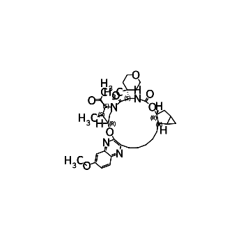 COc1ccc2nc3c(nc2c1)O[C@H]1CN(C(=O)[C@H](C2(C)CCOCC2)NC(=O)O[C@@H]2CC4CC4[C@H]2CCCCC3)[C@H](C(C)=O)[C@@H]1C